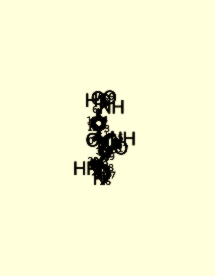 O=C(c1ccc(CN[SH](=O)=O)cc1)c1c[nH]c(=O)c2cc(-c3c[nH]c4ncccc34)cn12